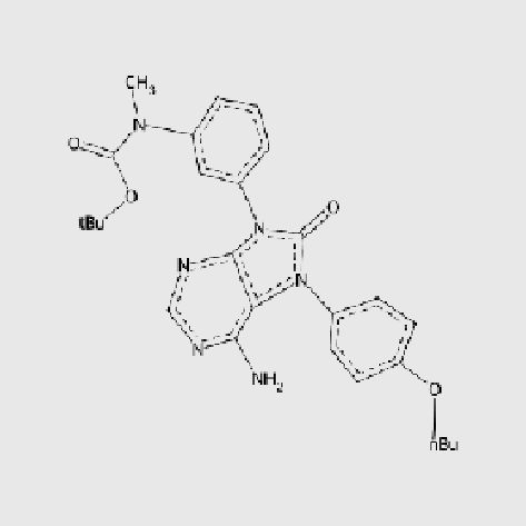 CCCCOc1ccc(-n2c(=O)n(-c3cccc(N(C)C(=O)OC(C)(C)C)c3)c3ncnc(N)c32)cc1